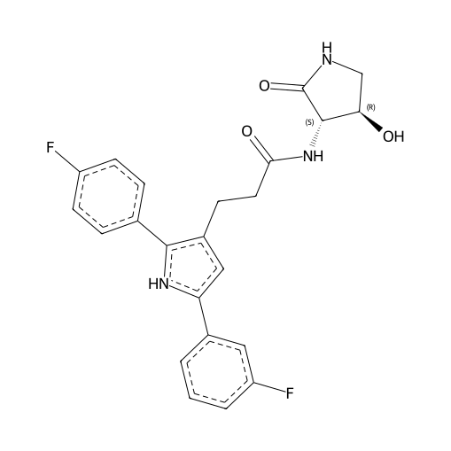 O=C(CCc1cc(-c2cccc(F)c2)[nH]c1-c1ccc(F)cc1)N[C@@H]1C(=O)NC[C@H]1O